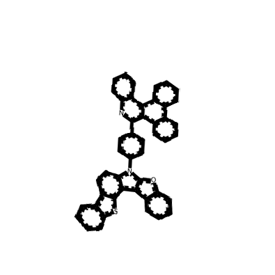 c1ccc2c(c1)nc(-c1ccc(-n3c4ccc5c6ccccc6sc5c4c4c5ccccc5oc43)cc1)c1c3ccccc3c3ccccc3c21